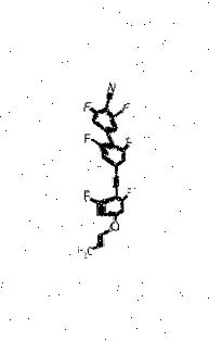 CCCOc1cc(F)c(C#Cc2cc(F)c(-c3cc(F)c(C#N)c(F)c3)c(F)c2)c(F)c1